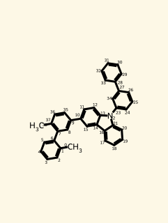 Cc1ccccc1-c1cc(-c2ccc3c(c2)c2ccccc2n3-c2cccc(-c3ccccc3)c2)ccc1C